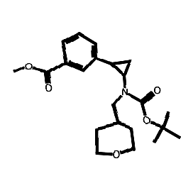 COC(=O)c1cccc(C2CC2N(CC2CCOCC2)C(=O)OC(C)(C)C)c1